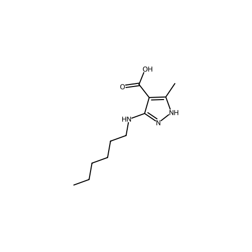 CCCCCCNc1n[nH]c(C)c1C(=O)O